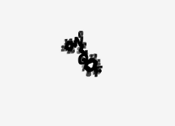 CN(CCCOc1ccc(F)cc1)C1CCC1